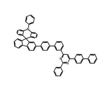 c1ccc(-c2ccc(-c3cc(-c4cccc(-c5ccc(-c6ccc7c(c6)C6(c8ccccc8-7)c7ccccc7N(c7ccccc7)c7ccccc76)cc5)c4)nc(-c4ccccc4)n3)cc2)cc1